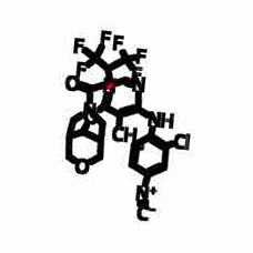 [C-]#[N+]c1ccc(Nc2ncnc(OC3C4COCC3CN(C(=O)CC(C(F)(F)F)C(F)(F)F)C4)c2C)c(Cl)c1